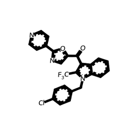 O=C(c1cnc(-c2ccncc2)o1)c1c(C(F)(F)F)n(Cc2ccc(Cl)cc2)c2ccccc12